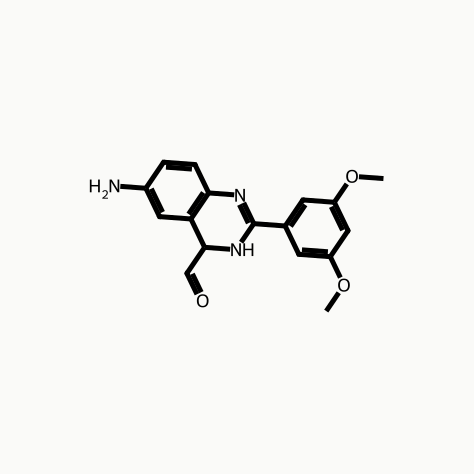 COc1cc(OC)cc(C2=Nc3ccc(N)cc3C(C=O)N2)c1